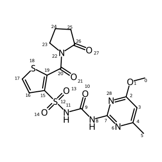 COc1cc(C)nc(NC(=O)NS(=O)(=O)c2ccsc2C(=O)N2CCCC2=O)n1